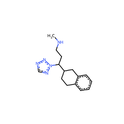 CNCCC(C1CCc2ccccc2C1)n1ncnn1